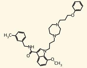 COc1cccc2c(C(=O)NCc3cccc(C)c3)cn(CCCN3CCCN(CCCOc4ccccc4)CC3)c12